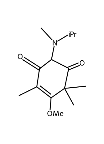 COC1=C(C)C(=O)C(N(C)C(C)C)C(=O)C1(C)C